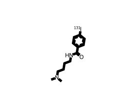 CN(C)CCCCNC(=O)c1ccc([131I])cc1